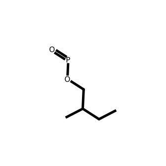 CCC(C)COP=O